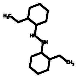 CCC1CCCCC1NNC1CCCCC1CC